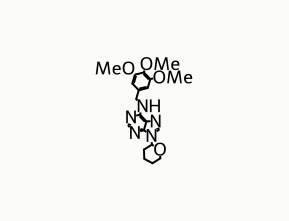 COc1cc(CNc2ncnc3c2ncn3C2CCCCO2)cc(OC)c1OC